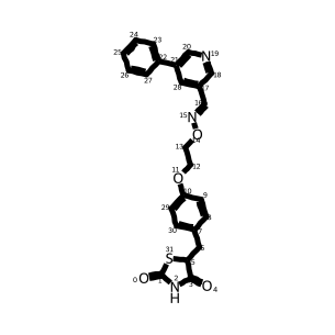 O=C1NC(=O)C(Cc2ccc(OCCO/N=C/c3cncc(-c4ccccc4)c3)cc2)S1